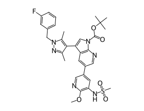 COc1ncc(-c2cnc3c(c2)c(-c2c(C)nn(Cc4cccc(F)c4)c2C)cn3C(=O)OC(C)(C)C)cc1NS(C)(=O)=O